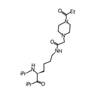 CCC(=O)N1CCN(CC(=O)NCCCC[C@H](NC(C)C)C(=O)C(C)C)CC1